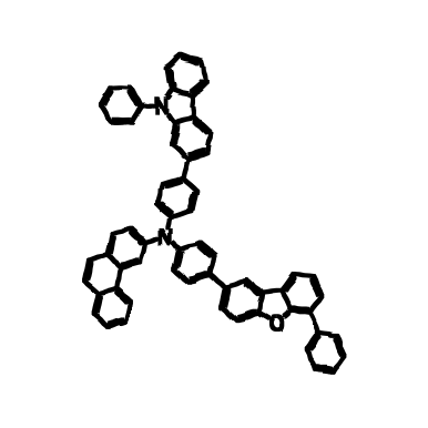 c1ccc(-c2cccc3c2oc2ccc(-c4ccc(N(c5ccc(-c6ccc7c8ccccc8n(-c8ccccc8)c7c6)cc5)c5ccc6ccc7ccccc7c6c5)cc4)cc23)cc1